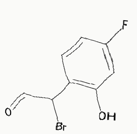 O=CC(Br)c1ccc(F)cc1O